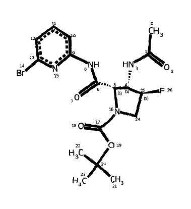 CC(=O)N[C@H]1[C@@H](C(=O)Nc2cccc(Br)n2)N(C(=O)OC(C)(C)C)C[C@@H]1F